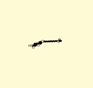 C=CC(=O)OCCCCCCCCCCCCCCOc1ccc(C(=O)Oc2ccc(C(=O)O)cc2)cc1